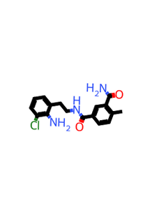 Cc1ccc(C(=O)NCCc2cccc(Cl)c2N)cc1C(N)=O